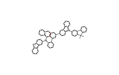 CC1(C)c2ccccc2-c2cc(-n3c4ccccc4c4cc(-c5cccc(-c6ccccc6N(c6ccc7sc8ccccc8c7c6)c6cccc7ccccc67)c5)ccc43)ccc21